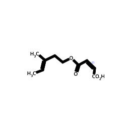 CC=C(C)CCOC(=O)/C=C\C(=O)O